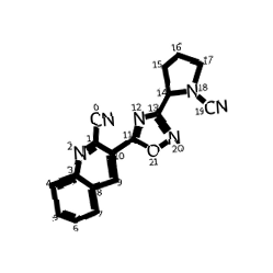 N#Cc1nc2ccccc2cc1-c1nc(C2CCCN2C#N)no1